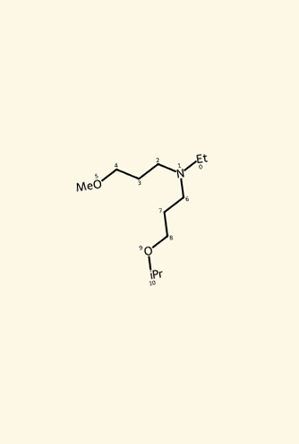 CCN(CCCOC)CCCOC(C)C